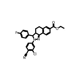 CCOC(=O)c1ccc2c(c1)CCC1C2=NN(c2ccc(C#N)c(Cl)c2)C1c1ccc(F)cc1